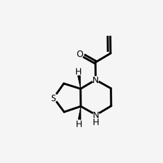 C=CC(=O)N1CCN[C@@H]2CSC[C@@H]21